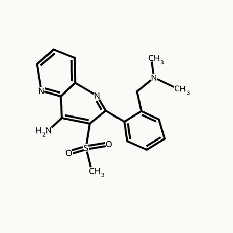 CN(C)Cc1ccccc1-c1nc2cccnc2c(N)c1S(C)(=O)=O